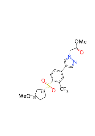 COC(=O)Cn1cc(-c2ccc(S(=O)(=O)[C@@H]3CC[C@H](OC)C3)c(C(F)(F)F)c2)cn1